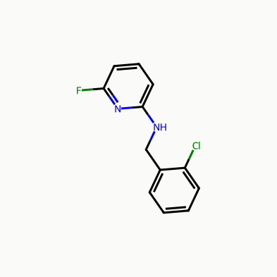 Fc1cccc(NCc2ccccc2Cl)n1